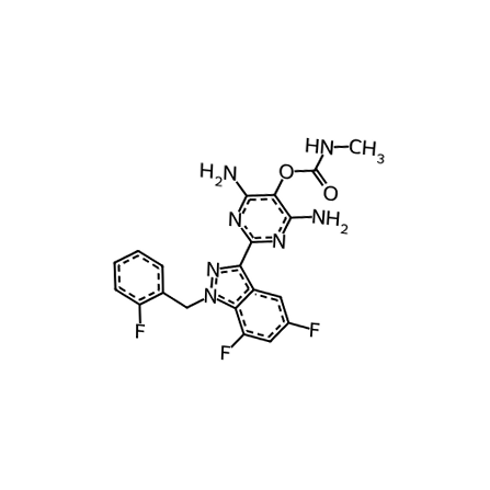 CNC(=O)Oc1c(N)nc(-c2nn(Cc3ccccc3F)c3c(F)cc(F)cc23)nc1N